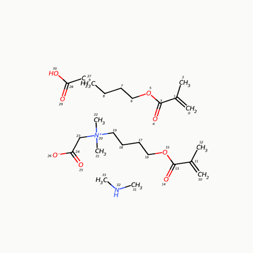 C=C(C)C(=O)OCCCC.C=C(C)C(=O)OCCCC[N+](C)(C)CC(=O)[O-].CC(=O)O.CNC